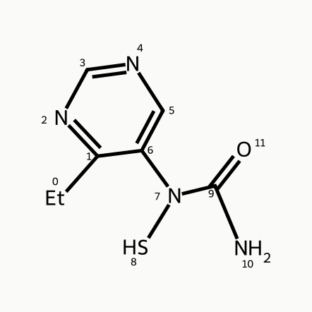 CCc1ncncc1N(S)C(N)=O